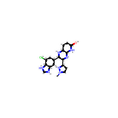 Cn1ccc(-c2nc3[nH]c(=O)ccc3nc2-c2cc(Cl)c3[nH]cnc3c2)n1